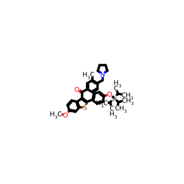 COc1ccc2c(C(=O)c3ccc(CN4CCCC4)c(C)c3)c(-c3ccc(O[Si](C(C)C)(C(C)C)C(C)C)cc3)sc2c1